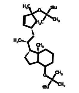 C[C@H](C[C@@H]1C=C[C@](C)(O[Si](C)(C)C(C)(C)C)C1)[C@H]1CCC2C(O[Si](C)(C)C(C)(C)C)CCC[C@@]21C